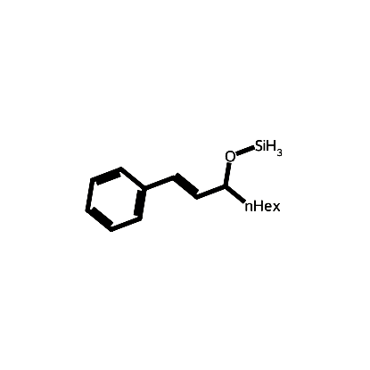 CCCCCCC(C=Cc1ccccc1)O[SiH3]